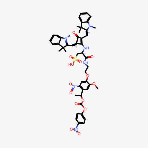 COc1cc(C(C)OC(=O)Oc2ccc([N+](=O)[O-])cc2)c([N+](=O)[O-])cc1OCCNC(=O)C(CS(=O)(=O)O)NC1=C(/C=C2/N(C)c3ccccc3C2(C)C)C(=O)/C1=C\C1=[N+](C)c2ccccc2C1(C)C